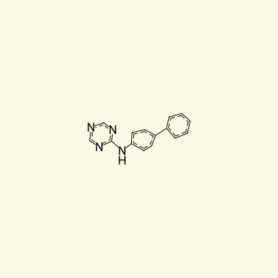 c1ccc(-c2ccc(Nc3ncncn3)cc2)cc1